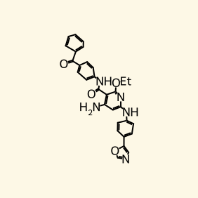 CCOc1nc(Nc2ccc(-c3cnco3)cc2)cc(N)c1C(=O)Nc1ccc(C(=O)c2ccccc2)cc1